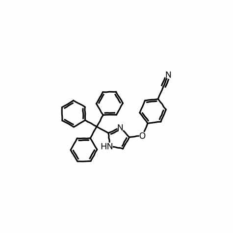 N#Cc1ccc(Oc2c[nH]c(C(c3ccccc3)(c3ccccc3)c3ccccc3)n2)cc1